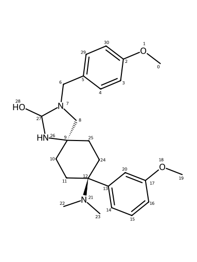 COc1ccc(CN2C[C@]3(CC[C@](c4cccc(OC)c4)(N(C)C)CC3)NC2O)cc1